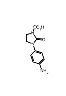 Nc1ccc(N2CCN(C(=O)O)C2=O)cc1